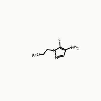 CC(=O)OCCn1ncc(N)c1F